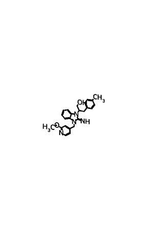 COc1cc(Cn2c(=N)n(C(CO)Cc3ccc(C)cc3)c3ccccc32)ccn1